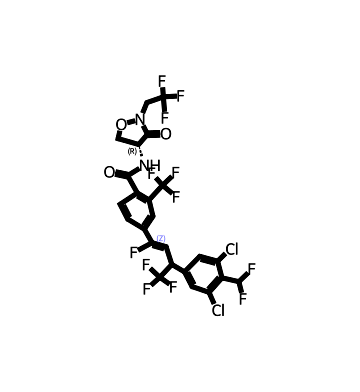 O=C(N[C@@H]1CON(CC(F)(F)F)C1=O)c1ccc(/C(F)=C/C(c2cc(Cl)c(C(F)F)c(Cl)c2)C(F)(F)F)cc1C(F)(F)F